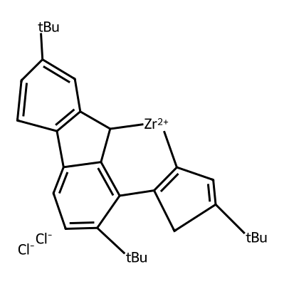 CC1=C(c2c(C(C)(C)C)ccc3c2[CH]([Zr+2])c2cc(C(C)(C)C)ccc2-3)CC(C(C)(C)C)=C1.[Cl-].[Cl-]